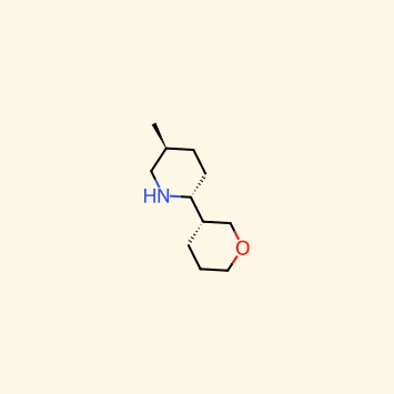 C[C@H]1CC[C@H]([C@H]2CCCOC2)NC1